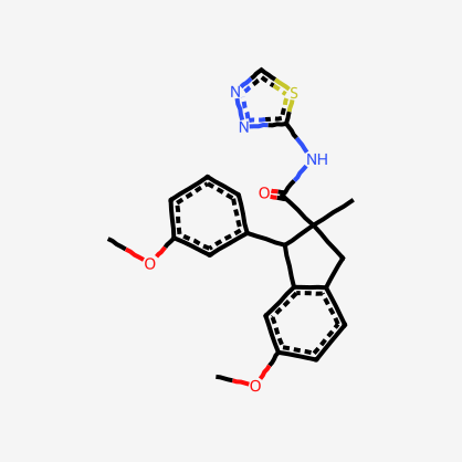 COc1cccc(C2c3cc(OC)ccc3CC2(C)C(=O)Nc2nncs2)c1